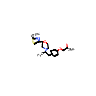 COC(=O)COc1ccc(CC(C)N2CCOC(c3csc(NC(C)=O)n3)C2)cc1